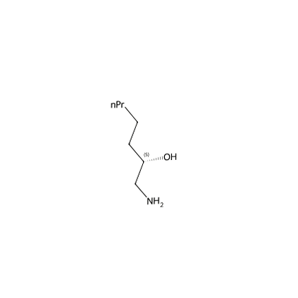 CCCCC[C@H](O)CN